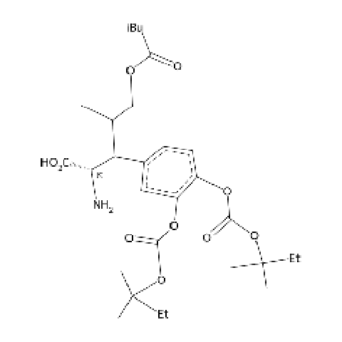 CCC(C)C(=O)OCC(C)C(c1ccc(OC(=O)OC(C)(C)CC)c(OC(=O)OC(C)(C)CC)c1)[C@H](N)C(=O)O